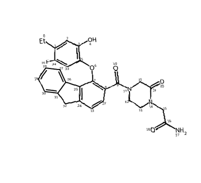 CCc1cc(O)c(Oc2c(C(=O)N3CCN(CC(N)=O)C(=O)C3)ccc3c2-c2ccccc2C3)cc1F